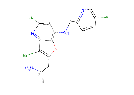 C[C@H](N)Cc1oc2c(NCc3ccc(F)cn3)cc(Cl)nc2c1Br